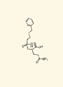 NC(=O)CCC(CP(=O)(O)CCCCc1ccccc1)C(=O)O